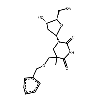 CC1(COCc2ccccc2)CN([C@H]2C[C@H](O)[C@@H](CO)O2)C(=O)NC1=O